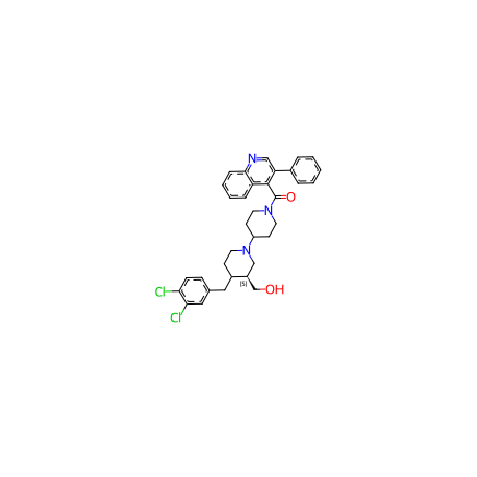 O=C(c1c(-c2ccccc2)cnc2ccccc12)N1CCC(N2CCC(Cc3ccc(Cl)c(Cl)c3)[C@H](CO)C2)CC1